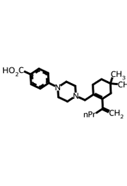 C=C(CCC)C1=C(CN2CCN(c3ccc(C(=O)O)cc3)CC2)CCC(C)(C)C1